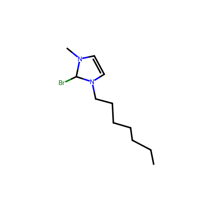 CCCCCCCN1C=CN(C)C1Br